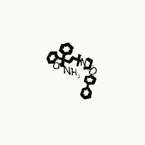 CC(C)(CCC(C(N)=O)(c1ccccc1)c1ccccc1)N1CC[C@H](Oc2ccc(-c3ccccc3)cc2)C1